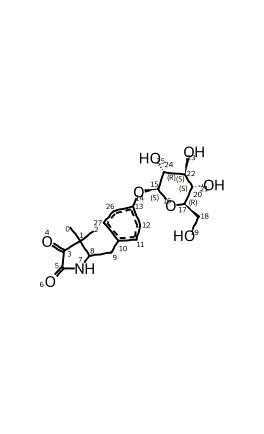 CC1(C)C(=O)C(=O)NC1Cc1ccc(O[C@@H]2O[C@H](CO)[C@@H](O)[C@H](O)[C@H]2O)cc1